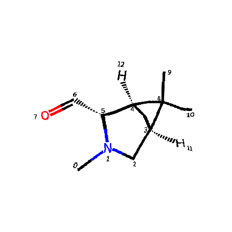 CN1C[C@H]2[C@@H]([C@H]1C=O)C2(C)C